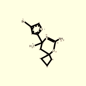 CC1(c2cc(Br)cs2)CC2(CCC2)OC(N)=N1